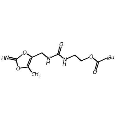 CCC(C)C(=O)OCCNC(=O)NCc1oc(=N)oc1C